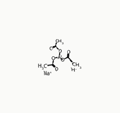 CC(=O)[O][Al]([O]C(C)=O)[O]C(C)=O.[H-].[Na+]